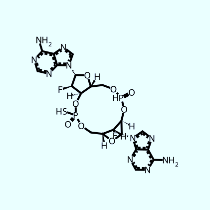 Nc1ncnc2c1ncn2[C@@H]1O[C@@H]2CO[PH](=O)O[C@@H]3[C@H](F)[C@@H](COP(=O)(S)O[C@H]2[C@H]1F)O[C@H]3n1cnc2c(N)ncnc21